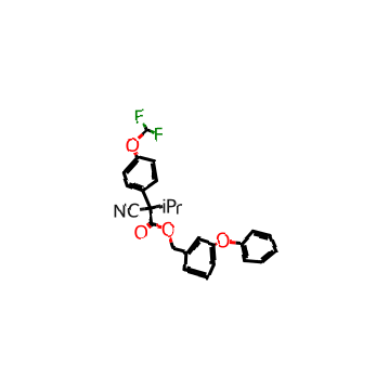 CC(C)C(C#N)(C(=O)OCc1cccc(Oc2ccccc2)c1)c1ccc(OC(F)F)cc1